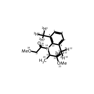 [2H]C([2H])([2H])c1cccc(C([2H])([2H])[2H])c1N(C(=O)COC)C(C)C(=O)OC